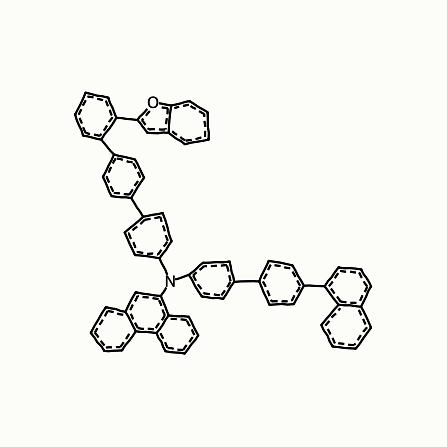 c1ccc(-c2cc3ccccc3o2)c(-c2ccc(-c3ccc(N(c4ccc(-c5ccc(-c6cccc7ccccc67)cc5)cc4)c4cc5ccccc5c5ccccc45)cc3)cc2)c1